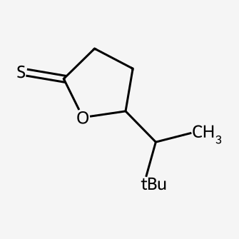 CC(C1CCC(=S)O1)C(C)(C)C